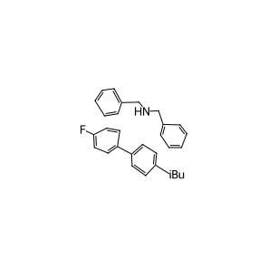 CCC(C)c1ccc(-c2ccc(F)cc2)cc1.c1ccc(CNCc2ccccc2)cc1